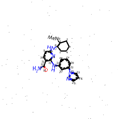 CNC1CCCC[C@H]1Nc1ccc(C(N)=O)c(Nc2cccc(-n3cccn3)c2)n1